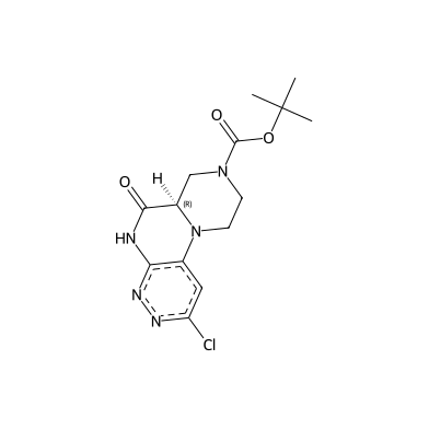 CC(C)(C)OC(=O)N1CCN2c3cc(Cl)nnc3NC(=O)[C@H]2C1